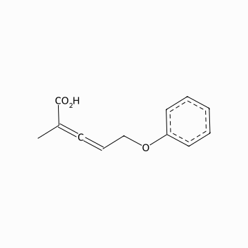 CC(=C=CCOc1ccccc1)C(=O)O